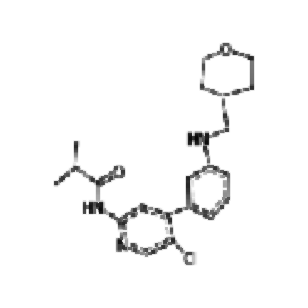 CC(C)C(=O)Nc1cc(-c2cccc(NCC3CCOCC3)c2)c(Cl)cn1